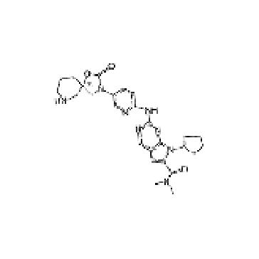 CN(C)C(=O)c1cc2cnc(Nc3ccc(N4C[C@]5(CCCNC5)OC4=O)cn3)nc2n1C1CCCC1